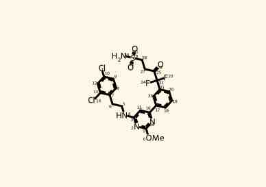 COc1nc(NCCc2ccc(Cl)cc2Cl)cc(-c2cccc(C(F)(F)C(=O)CCS(N)(=O)=O)c2)n1